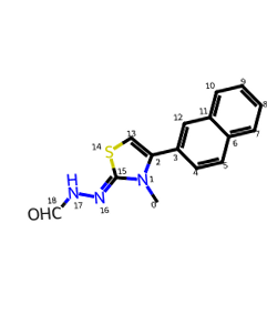 Cn1c(-c2ccc3ccccc3c2)csc1=NNC=O